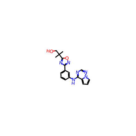 CC(C)(CO)c1nc(-c2cccc(Nc3ncnn4cccc34)c2)no1